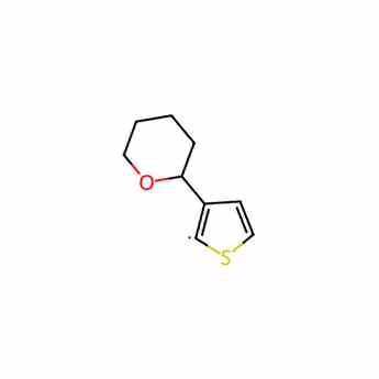 [c]1sccc1C1CCCCO1